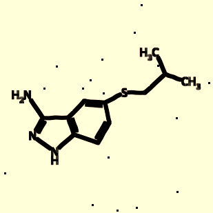 CC(C)CSc1ccc2[nH]nc(N)c2c1